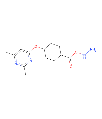 Cc1cc(OC2CCC(C(=O)ONN)CC2)nc(C)n1